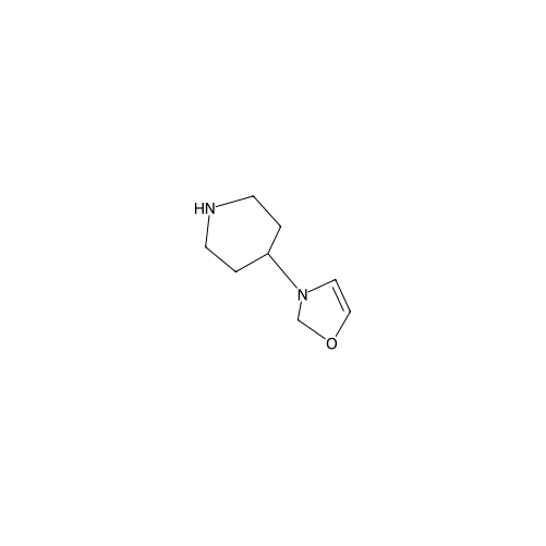 C1=CN(C2CCNCC2)CO1